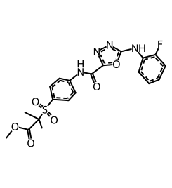 COC(=O)C(C)(C)S(=O)(=O)c1ccc(NC(=O)c2nnc(Nc3ccccc3F)o2)cc1